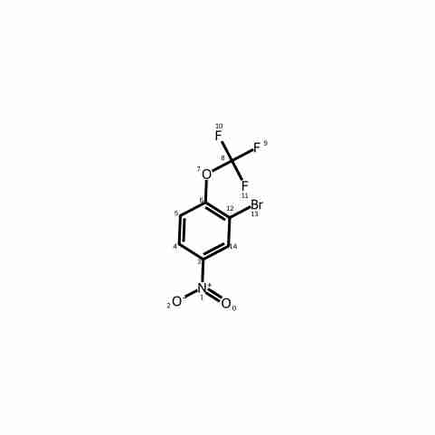 O=[N+]([O-])c1ccc(OC(F)(F)F)c(Br)c1